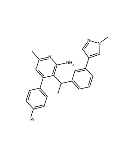 Cc1nc(N)c(C(C)c2cccc(-c3cnn(C)c3)c2)c(-c2ccc(C(C)C)cc2)n1